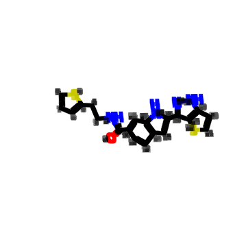 O=C(NCCc1cccs1)c1ccc2cc(-c3n[nH]c4ccsc34)[nH]c2c1